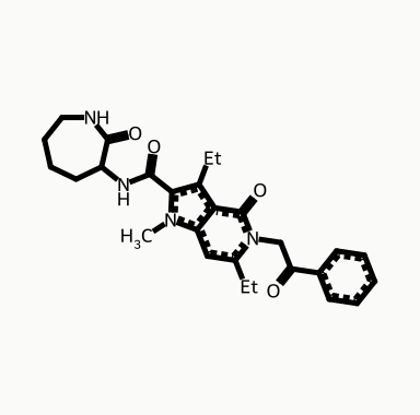 CCc1c(C(=O)NC2CCCCNC2=O)n(C)c2cc(CC)n(CC(=O)c3ccccc3)c(=O)c12